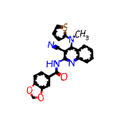 CN(c1cccs1)c1c(C#N)c(NC(=O)c2ccc3c(c2)OCO3)nc2ccccc12